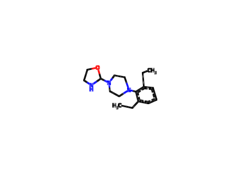 CCc1cccc(CC)c1N1CCN(C2NCCO2)CC1